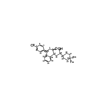 O=C1CN(c2ccc(Cl)cc2)c2ccccc2C1CC(O)C1CCC(F)(F)CC1